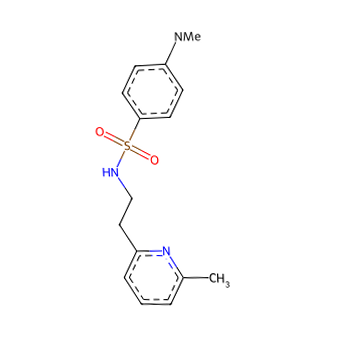 CNc1ccc(S(=O)(=O)NCCc2cccc(C)n2)cc1